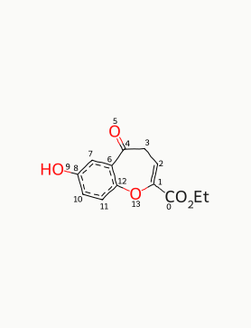 CCOC(=O)C1=CCC(=O)c2cc(O)ccc2O1